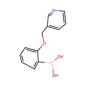 OB(O)c1ccccc1OCc1cccnc1